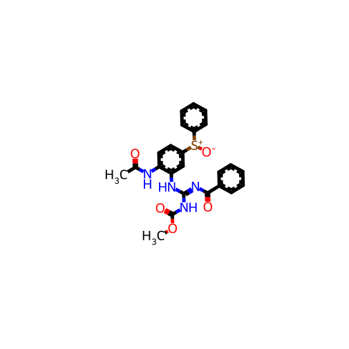 COC(=O)N/C(=N\C(=O)c1ccccc1)Nc1cc([S+]([O-])c2ccccc2)ccc1NC(C)=O